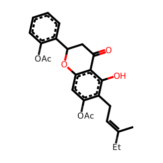 CCC(C)=CCc1c(OC(C)=O)cc2c(c1O)C(=O)CC(c1ccccc1OC(C)=O)O2